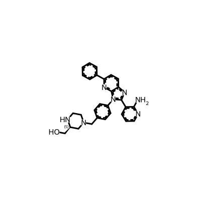 Nc1ncccc1-c1nc2ccc(-c3ccccc3)nc2n1-c1ccc(CN2CCN[C@H](CO)C2)cc1